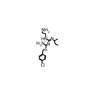 CCC(C)/N=C(\N=C(/N)SCc1ccc(Cl)cc1)NCCN